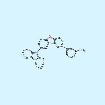 Cc1cccc(-c2ccc3oc4ccc(-n5c6ccccc6c6ccccc65)cc4c3c2)c1